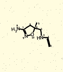 C=CNC[C@@]1(C)CC(N)=NO1